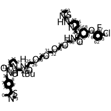 Cc1ncsc1-c1ccc(CNC(=O)[C@@H]2CCCN2C(=O)[C@@H](NC(=O)CCOCCOCCOCCOCCNC(=O)[C@]2(Cc3cccc(Nc4nccs4)n3)CC[C@@H](Oc3cccc(Cl)c3F)CC2)C(C)(C)C)cc1